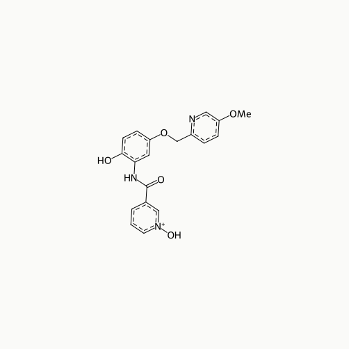 COc1ccc(COc2ccc(O)c(NC(=O)c3ccc[n+](O)c3)c2)nc1